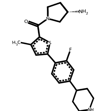 Cc1cc(-c2ccc(C3CCNCC3)cc2F)sc1C(=O)N1CC[C@H](N)C1